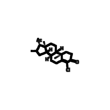 CC(=O)[C@H]1C(C)C[C@H]2[C@@H]3CCC4=C(Cl)C(=O)CC[C@]4(C)[C@H]3CC[C@]12C